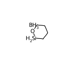 B.C1CC[SiH2]OC1